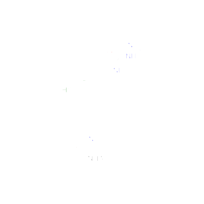 CC(=O)Nc1nc(CCc2ccc(CNC(=O)NN)c(F)c2)cs1.Cl